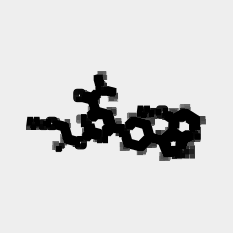 COC[C@@H](C)Oc1nc(C(=O)N(C)C)cc(N2CCC(c3c[nH]c4nccc(OC)c34)CC2)n1